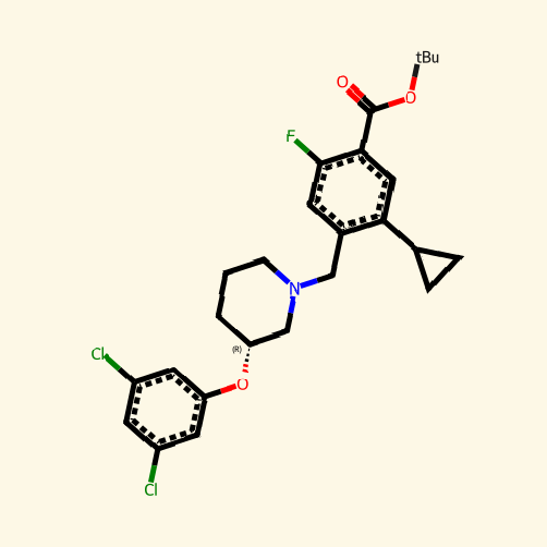 CC(C)(C)OC(=O)c1cc(C2CC2)c(CN2CCC[C@@H](Oc3cc(Cl)cc(Cl)c3)C2)cc1F